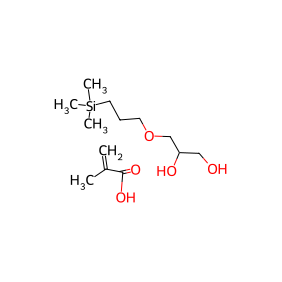 C=C(C)C(=O)O.C[Si](C)(C)CCCOCC(O)CO